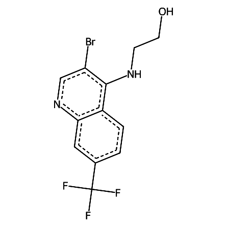 OCCNc1c(Br)cnc2cc(C(F)(F)F)ccc12